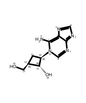 Nc1c2ncnc-2ncn1[C@@H]1C[C@H](CO)[C@H]1O